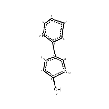 Oc1cnc(-c2ccccn2)cn1